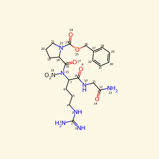 N=C(N)NCCCC(C(=O)NCC(N)=O)N(C(=O)C1CCCN1C(=O)OCc1ccccc1)[N+](=O)[O-]